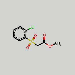 COC(=O)CS(=O)(=O)c1ccccc1Cl